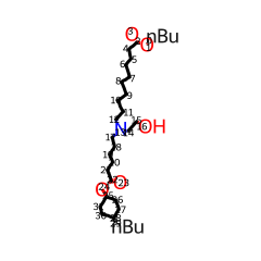 CCCCOC(=O)CCCCCCCCCN(CCO)CCCCCC(=O)OC1CCC(CCCC)CC1